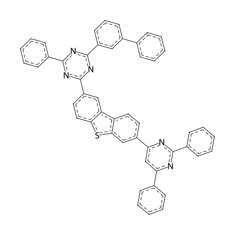 c1ccc(-c2cccc(-c3nc(-c4ccccc4)nc(-c4ccc5sc6cc(-c7cc(-c8ccccc8)nc(-c8ccccc8)n7)ccc6c5c4)n3)c2)cc1